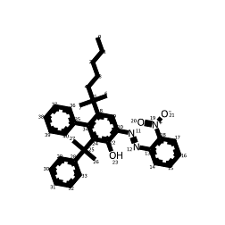 CCCCCC(C)(C)c1cc(N=Nc2ccccc2[N+](=O)[O-])c(O)c(C(C)(C)c2ccccc2)c1-c1ccccc1